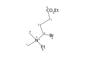 CCOC(=O)CCC(Br)[N+](C)(C)CC